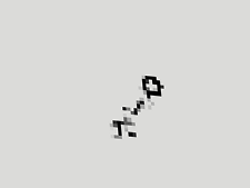 O=C(CCl)OCCOc1ccccc1